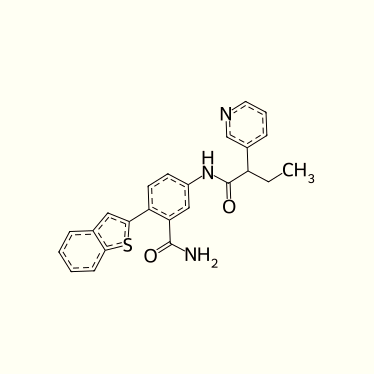 CCC(C(=O)Nc1ccc(-c2cc3ccccc3s2)c(C(N)=O)c1)c1cccnc1